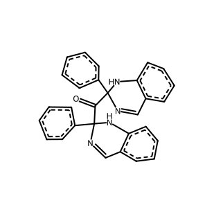 O=C(C1(c2ccccc2)N=Cc2ccccc2N1)C1(c2ccccc2)N=Cc2ccccc2N1